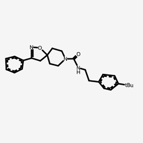 CC(C)(C)c1ccc(CCNC(=O)N2CCC3(CC2)CC(c2ccccc2)=NO3)cc1